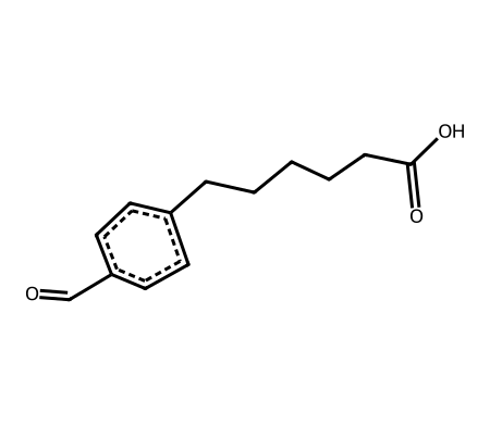 O=Cc1ccc(CCCCCC(=O)O)cc1